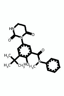 CN(C(=O)c1cc(N2C(=O)CCNC2=O)cc(C(C)(C)C)c1O)c1ccccc1